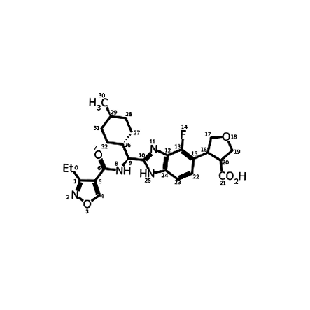 CCc1nocc1C(=O)N[C@H](c1nc2c(F)c(C3COCC3C(=O)O)ccc2[nH]1)[C@H]1CC[C@H](C)CC1